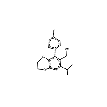 CC(C)c1cc2c(c(-c3ccc(F)cc3)c1CO)OCCO2